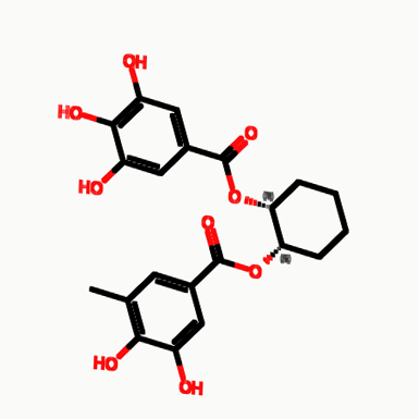 Cc1cc(C(=O)O[C@H]2CCCC[C@H]2OC(=O)c2cc(O)c(O)c(O)c2)cc(O)c1O